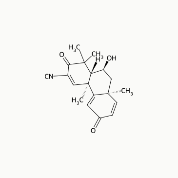 [C-]#[N+]C1=C[C@]2(C)C3=CC(=O)C=C[C@]3(C)C[C@H](O)[C@H]2C(C)(C)C1=O